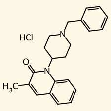 Cc1cc2ccccc2n(C2CCN(Cc3ccccc3)CC2)c1=O.Cl